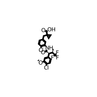 COc1cc([C@@H](C(=O)Nc2cc(CC3(C(=O)O)CC3)ccc2Cl)[C@@H](C)C(F)(F)F)ccc1Cl